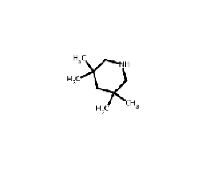 CC1(C)[CH]C(C)(C)CNC1